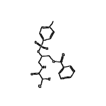 Cc1ccc(S(=O)(=O)OC(CNC(=O)C(Cl)Cl)COC(=O)c2ccccc2)cc1